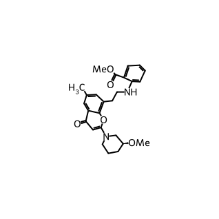 COC(=O)c1ccccc1NCCc1cc(C)cc2c(=O)cc(N3CCC[C@H](OC)C3)oc12